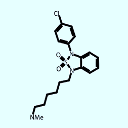 CNCCCCCCN1c2ccccc2N(c2ccc(Cl)cc2)S1(=O)=O